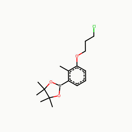 Cc1c(OCCCCl)cccc1B1OC(C)(C)C(C)(C)O1